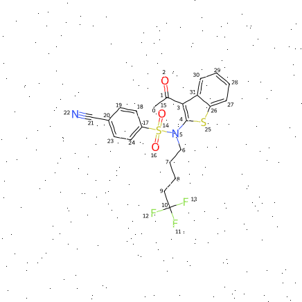 CC(=O)c1c(N(CCCCC(F)(F)F)S(=O)(=O)c2ccc(C#N)cc2)sc2ccccc12